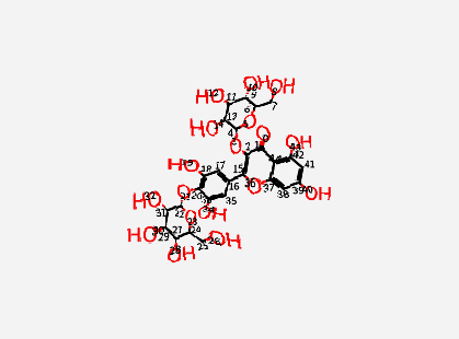 O=c1c(O[C@@H]2OC(CO)[C@@H](O)C(O)C2O)c(-c2cc(O)c(O[C@@H]3OC(CO)[C@@H](O)C(O)C3O)c(O)c2)oc2cc(O)cc(O)c12